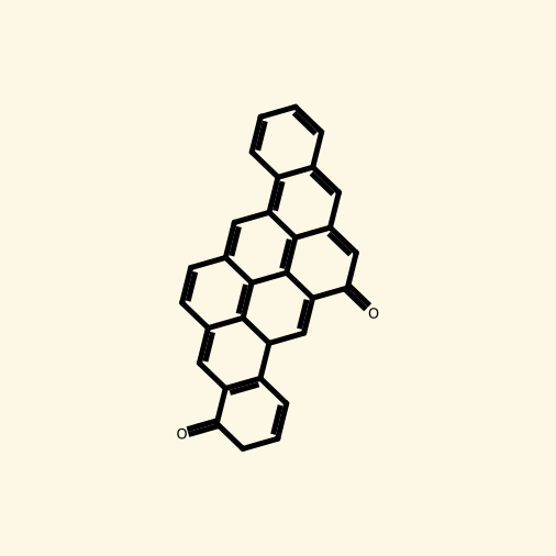 O=C1C=c2cc3ccccc3c3cc4ccc5c6c4c(c23)C1=CC6C1=C(C=5)C(=O)CC=C1